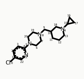 Clc1ccc(N2CCN(CC3CCCN(C4CC4)C3)CC2)nc1